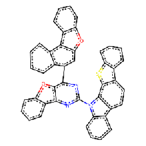 c1ccc2c(c1)oc1c(-c3cc4oc5ccccc5c4c4ccccc34)nc(-n3c4ccccc4c4ccc5c6ccccc6sc5c43)nc12